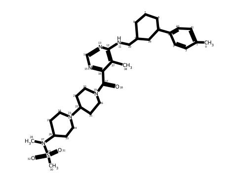 Cc1ccc(C2CCCC(CNc3ncnc(C(=O)N4CCC(N5CCC(N(C)S(C)(=O)=O)CC5)CC4)c3C)C2)cc1